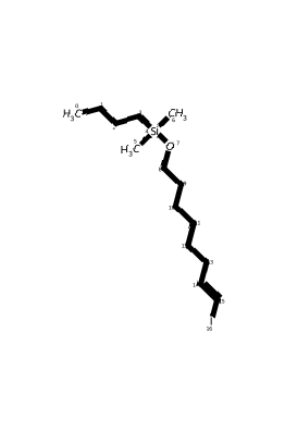 CCCC[Si](C)(C)OCCCCCCC=CI